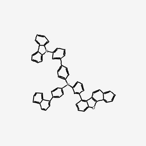 c1cc(-c2cccc3oc4c5ccccc5ccc4c23)cc(N(c2ccc(-c3cccc(-n4c5ccccc5c5ccccc54)c3)cc2)c2ccc(-c3cccc4ccccc34)cc2)c1